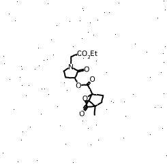 CCOC(=O)CN1CCC(OC(=O)C23CCC(C)(C(=O)O2)C3(C)C)C1=O